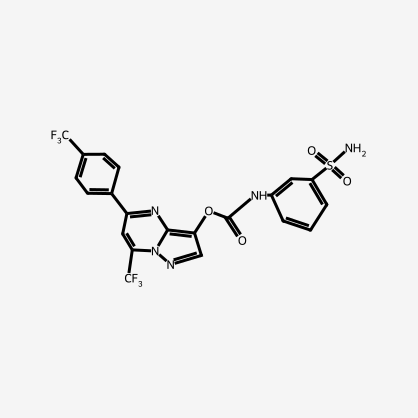 NS(=O)(=O)c1cccc(NC(=O)Oc2cnn3c(C(F)(F)F)cc(-c4ccc(C(F)(F)F)cc4)nc23)c1